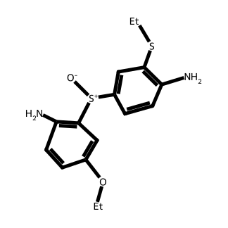 CCOc1ccc(N)c([S+]([O-])c2ccc(N)c(SCC)c2)c1